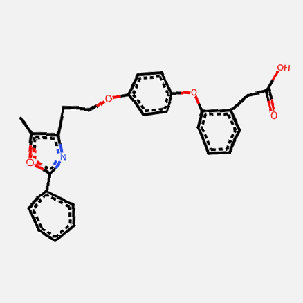 Cc1oc(-c2ccccc2)nc1CCOc1ccc(Oc2ccccc2CC(=O)O)cc1